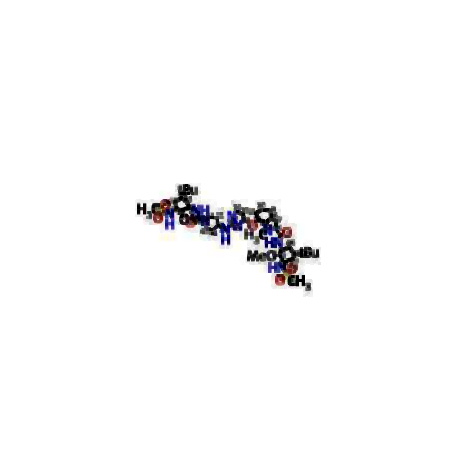 COc1c(NC(=O)c2cc3cccc(Oc4ccnc(NC5CCN(C(=O)Nc6cc(C(C)(C)C)cc(NS(C)(=O)=O)c6OC)CC5)n4)c3n2C)cc(C(C)(C)C)cc1NS(C)(=O)=O